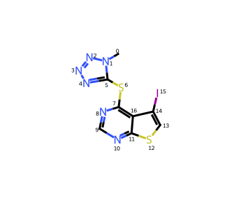 Cn1nnnc1Sc1ncnc2scc(I)c12